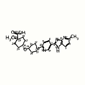 Cc1ccc2[nH]c(-c3ccc(N4CCC(O[C@H]5CC[C@@](C)(C(=O)O)CC5)CC4)nc3)nc2n1